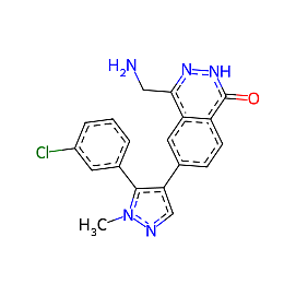 Cn1ncc(-c2ccc3c(=O)[nH]nc(CN)c3c2)c1-c1cccc(Cl)c1